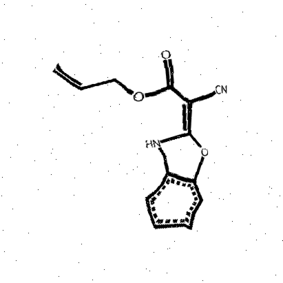 C=CCOC(=O)C(C#N)=C1Nc2ccccc2O1